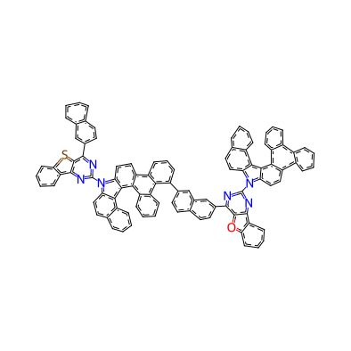 c1ccc2cc(-c3nc(-n4c5ccc6ccccc6c5c5c6c7ccccc7c7c(-c8ccc9ccc(-c%10nc(-n%11c%12ccc%13ccccc%13c%12c%12c%13c%14ccccc%14c%14ccccc%14c%13ccc%12%11)nc%11c%10oc%10ccccc%10%11)cc9c8)cccc7c6ccc54)nc4c3sc3ccccc34)ccc2c1